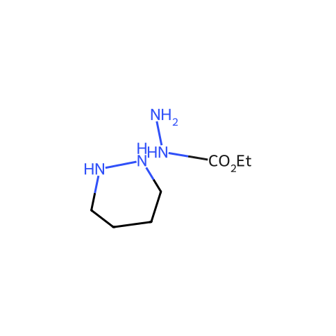 C1CCNNC1.CCOC(=O)NN